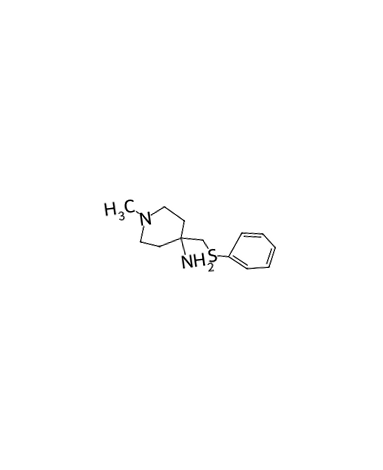 CN1CCC(N)(CSc2ccccc2)CC1